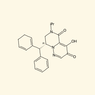 CC(C)N1C[C@@H](C(C2=CCCC=C2)c2ccccc2)n2ncc(=O)c(O)c2C1=O